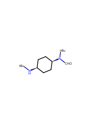 CCCCN(C=O)[C@H]1CC[C@@H](NC(C)(C)C)CC1